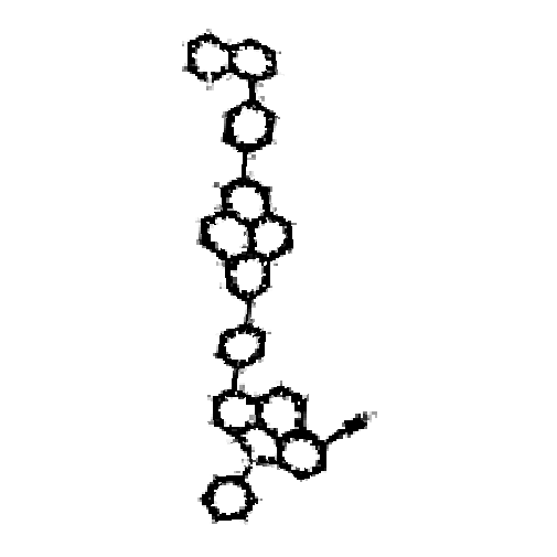 N#Cc1ccc2c3c1ccc1c(-c4ccc(-c5cc6ccc7cc(-c8ccc(-c9cccc%10cccnc9%10)cc8)cc8ccc(c5)c6c78)cc4)ccc(c13)n2-c1ccccc1